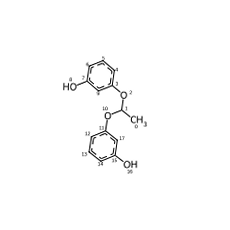 CC(Oc1cccc(O)c1)Oc1cccc(O)c1